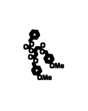 COc1ccc(COC(=O)CC(CC(=O)OCc2ccc(OC)cc2)OC(=O)OCc2ccccc2)cc1